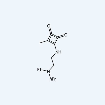 CCCN(CC)CCNc1c(C)c(=O)c1=O